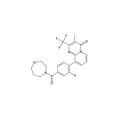 Cc1c(C(F)(F)F)nc2c(-c3ccc(C(=O)N4CCCOCC4)cc3F)cccn2c1=O